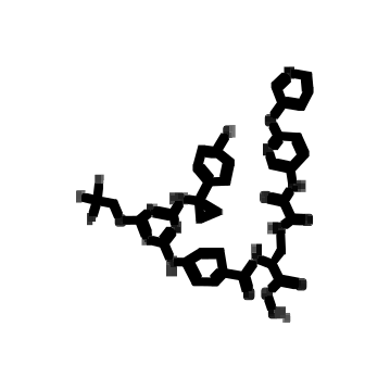 COC(=O)[C@H](CNC(=O)C(=O)Nc1ccc(Oc2cccnc2)nc1)NC(=O)c1ccc(Nc2nc(NC3(c4ccc(Cl)cc4)CC3)nc(OCC(F)(F)F)n2)cc1